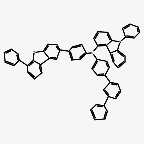 c1ccc(-c2cccc(-c3ccc(N(c4ccc(-c5ccc6oc7c(-c8ccccc8)cccc7c6c5)cc4)c4cccc5c4c4ccccc4n5-c4ccccc4)cc3)c2)cc1